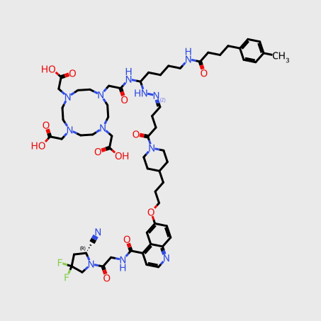 Cc1ccc(CCCC(=O)NCCCCC(N/N=C\CCC(=O)N2CCC(CCCOc3ccc4nccc(C(=O)NCC(=O)N5CC(F)(F)C[C@@H]5C#N)c4c3)CC2)NC(=O)CN2CCN(CC(=O)O)CCN(CC(=O)O)CCN(CC(=O)O)CC2)cc1